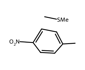 CSC.Cc1ccc([N+](=O)[O-])cc1